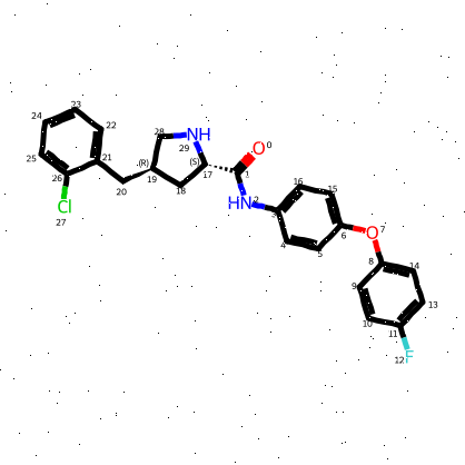 O=C(Nc1ccc(Oc2ccc(F)cc2)cc1)[C@@H]1C[C@@H](Cc2ccccc2Cl)CN1